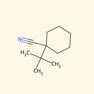 CC(C)(C)C1(C#N)CCCCC1